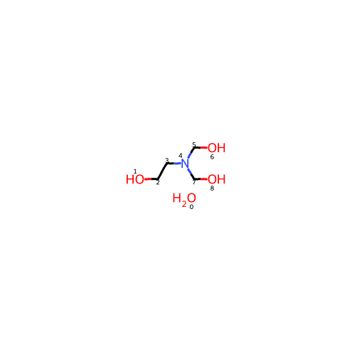 O.OCCN(CO)CO